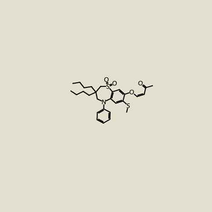 CCCCC1(CCCC)CN(c2ccccc2)c2cc(SC)c(O/C=C\C(C)=O)cc2S(=O)(=O)C1